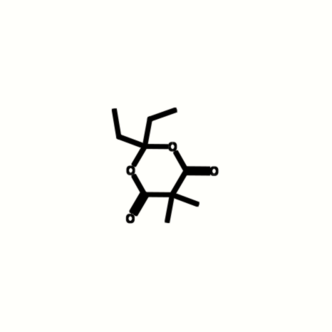 CCC1(CC)OC(=O)C(C)(C)C(=O)O1